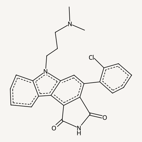 CN(C)CCCn1c2ccccc2c2c3c(c(-c4ccccc4Cl)cc21)C(=O)NC3=O